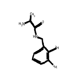 [2H]c1cccc(CNC(=O)C(C)N)c1[2H]